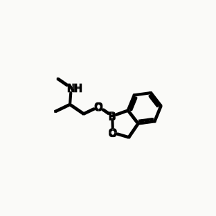 CNC(C)COB1OCc2ccccc21